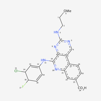 COCCNc1ncc2c(n1)c(NC1=CC(Cl)C(F)C=C1)nc1cc(C(=O)O)ccc12